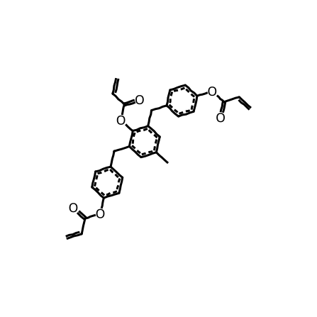 C=CC(=O)Oc1ccc(Cc2cc(C)cc(Cc3ccc(OC(=O)C=C)cc3)c2OC(=O)C=C)cc1